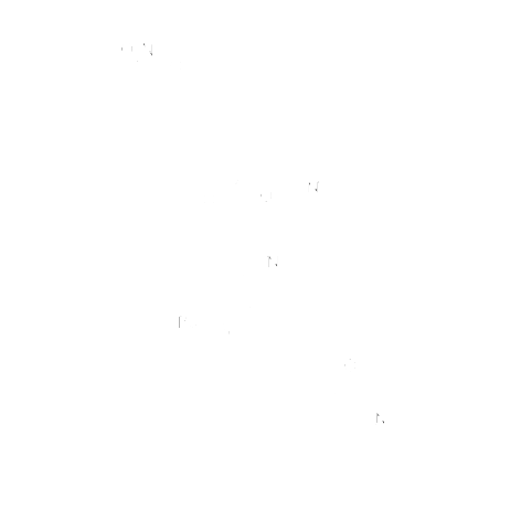 CC(C)(Cc1c(SC(C)(C)C)c2cc(OCc3ccccn3)ccc2n1Cc1ccccn1)OC(=O)c1cccc(CO[N+](=O)[O-])c1